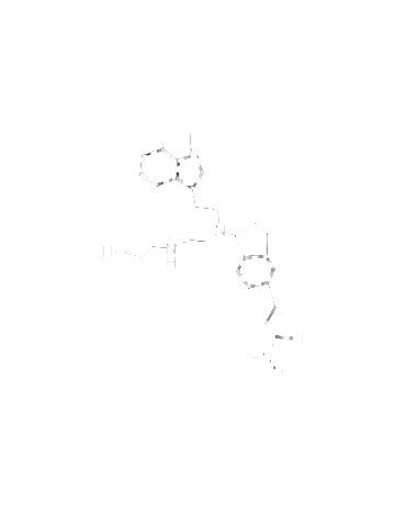 O=C(C=Cc1ccc2c(c1)CCC2N(CCNCCO)CCc1c[nH]c2ccccc12)NO